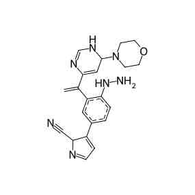 C=C(C1=CC(N2CCOCC2)NC=N1)c1cc(C2=CC=NC2C#N)ccc1NN